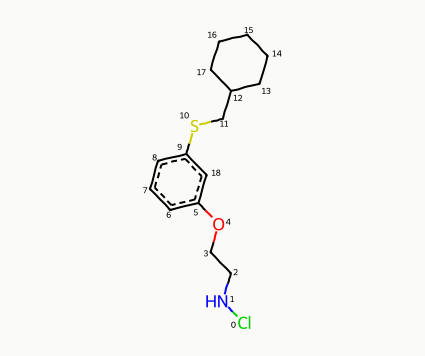 ClNCCOc1cccc(SCC2CCCCC2)c1